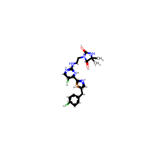 CC1(C)NC(=O)N(CCNc2ncc(F)c(-c3ncc(Cc4ccc(F)cc4)s3)n2)C1=O